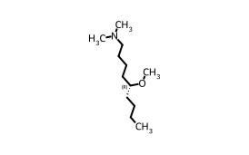 CCCC[C@H](CCCCN(C)C)OC